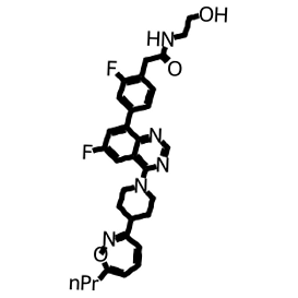 CCCC1=CC=CC(C2CCN(c3ncnc4c(-c5ccc(CC(=O)NCCO)c(F)c5)cc(F)cc34)CC2)=NO1